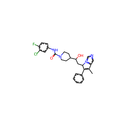 CC1=C(c2ccccc2)C(CC(O)C2CCN(C(=O)Nc3ccc(F)c(Cl)c3)CC2)n2cncc21